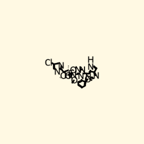 COc1cccc(OC)c1-n1c(NS(=O)(=O)[C@@H](C)[C@H](OC)c2ncc(Cl)cn2)nnc1-c1ncnc2cc[nH]c12